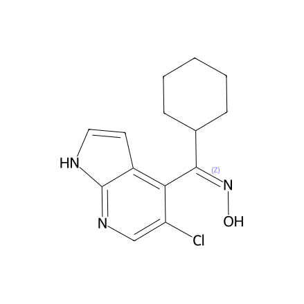 O/N=C(\c1c(Cl)cnc2[nH]ccc12)C1CCCCC1